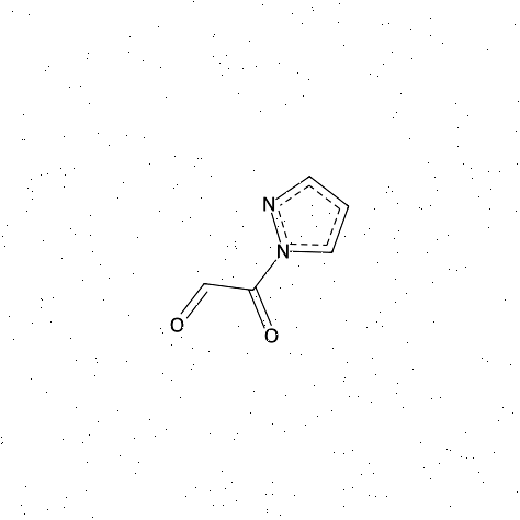 O=CC(=O)n1cccn1